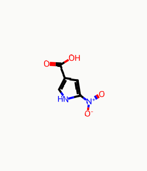 O=C(O)c1c[nH]c([N+](=O)[O-])c1